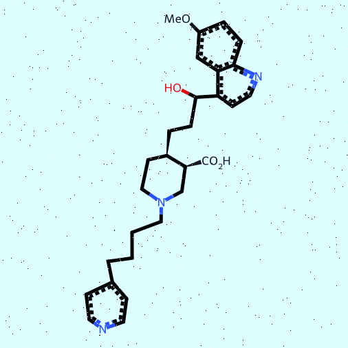 COc1ccc2nccc(C(O)CC[C@@H]3CCN(CCCCc4ccncc4)C[C@@H]3C(=O)O)c2c1